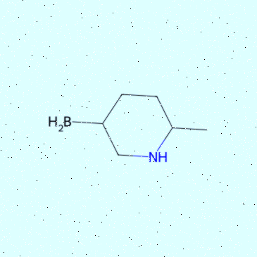 BC1CCC(C)NC1